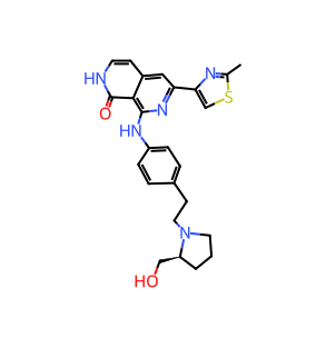 Cc1nc(-c2cc3cc[nH]c(=O)c3c(Nc3ccc(CCN4CCC[C@H]4CO)cc3)n2)cs1